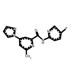 Cc1cc(-n2cccn2)cc(C(=O)Nc2ccc(F)cn2)n1